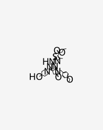 CCOC(=O)c1sc(Nc2nc(N3CCC(O)CC3)c3c(n2)N(Cc2ccc(OC)cc2)C(=O)C3)nc1C